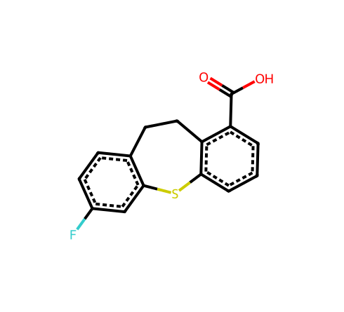 O=C(O)c1cccc2c1CCc1ccc(F)cc1S2